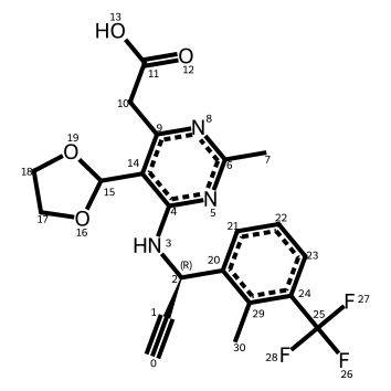 C#C[C@@H](Nc1nc(C)nc(CC(=O)O)c1C1OCCO1)c1cccc(C(F)(F)F)c1C